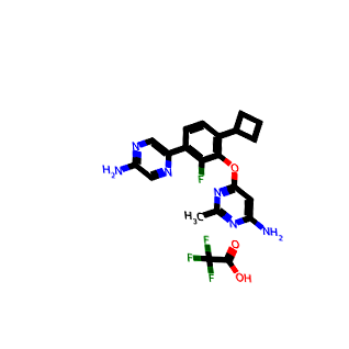 Cc1nc(N)cc(Oc2c(C3CCC3)ccc(-c3cnc(N)cn3)c2F)n1.O=C(O)C(F)(F)F